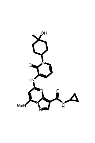 CNc1cc(Nc2cccn(C3CCC(C)(O)CC3)c2=O)nc2c(C(=O)NC3CC3)cnn12